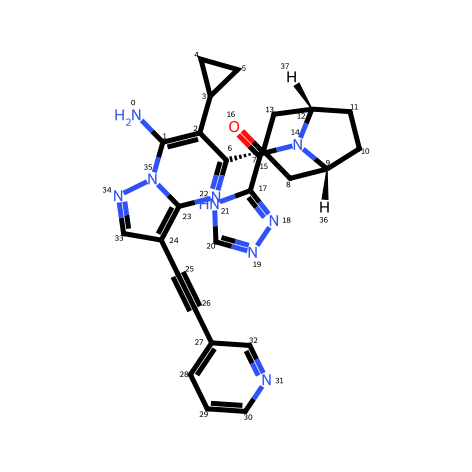 Nc1c(C2CC2)c([C@H]2C[C@H]3CC[C@@H](C2)N3C(=O)c2nnc[nH]2)nc2c(C#Cc3cccnc3)cnn12